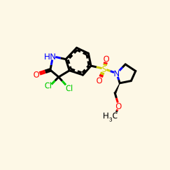 COC[C@@H]1CCCN1S(=O)(=O)c1ccc2c(c1)C(Cl)(Cl)C(=O)N2